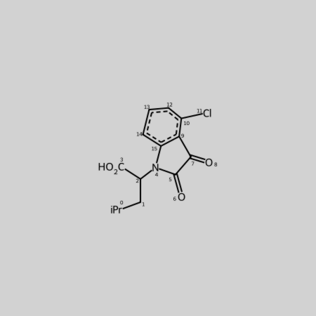 CC(C)CC(C(=O)O)N1C(=O)C(=O)c2c(Cl)cccc21